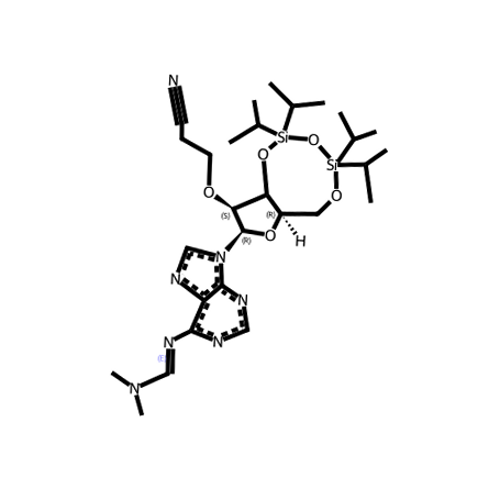 CC(C)[Si]1(C(C)C)OC[C@H]2O[C@@H](n3cnc4c(/N=C/N(C)C)ncnc43)[C@@H](OCCC#N)C2O[Si](C(C)C)(C(C)C)O1